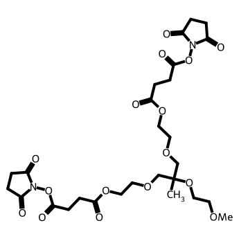 COCCOC(C)(COCCOC(=O)CCC(=O)ON1C(=O)CCC1=O)COCCOC(=O)CCC(=O)ON1C(=O)CCC1=O